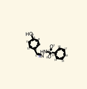 O=S(=O)(N/N=C\c1ccc(O)cc1)c1ccccc1